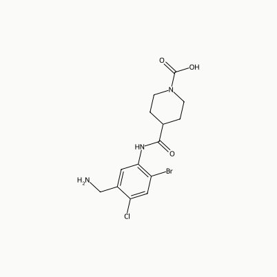 NCc1cc(NC(=O)C2CCN(C(=O)O)CC2)c(Br)cc1Cl